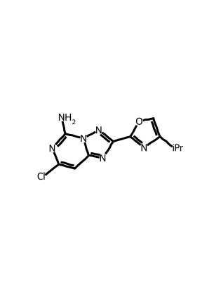 CC(C)c1coc(-c2nc3cc(Cl)nc(N)n3n2)n1